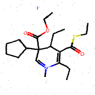 CCOC(=O)C1(C2CCCC2)C=[N+](C)C(CC)=C(C(=O)SCC)C1CC.[I-]